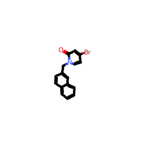 O=c1cc(Br)ccn1Cc1ccc2ccccc2c1